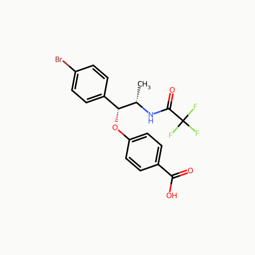 C[C@H](NC(=O)C(F)(F)F)[C@H](Oc1ccc(C(=O)O)cc1)c1ccc(Br)cc1